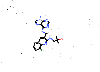 CC(Nc1ncnc2[nH]cnc12)c1cc2cccc(Cl)c2nc1NCC(C)(C)O